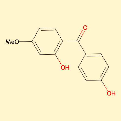 COc1ccc(C(=O)c2ccc(O)cc2)c(O)c1